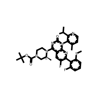 CSc1cccc(F)c1-c1nc2c(cc1F)c(N1CCN(C(=O)OC(C)(C)C)C[C@@H]1C)nc(=O)n2-c1c(C)ccnc1C(C)C